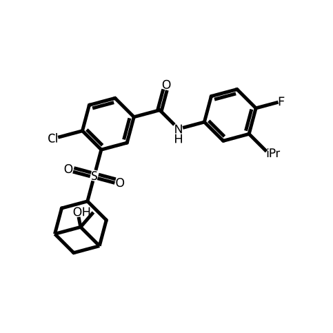 CC(C)c1cc(NC(=O)c2ccc(Cl)c(S(=O)(=O)C3CC4CC(C3)C4(C)O)c2)ccc1F